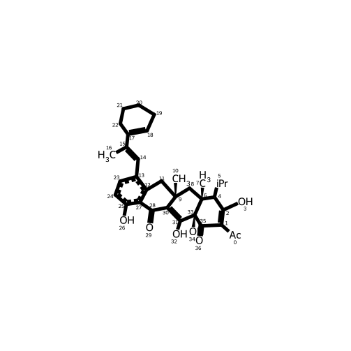 CC(=O)C1=C(O)C(C(C)C)[C@@]2(C)C[C@@]3(C)Cc4c(/C=C(\C)C5=CCCCC5)ccc(O)c4C(=O)C3=C(O)[C@@]2(O)C1=O